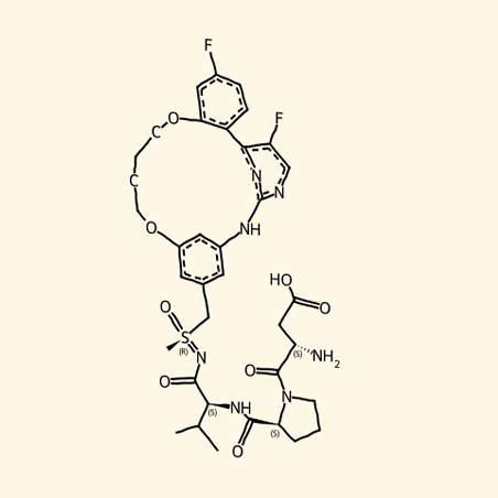 CC(C)[C@H](NC(=O)[C@@H]1CCCN1C(=O)[C@@H](N)CC(=O)O)C(=O)N=[S@](C)(=O)Cc1cc2cc(c1)OCCCCOc1cc(F)ccc1-c1nc(ncc1F)N2